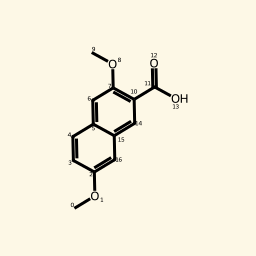 COc1ccc2cc(OC)c(C(=O)O)cc2c1